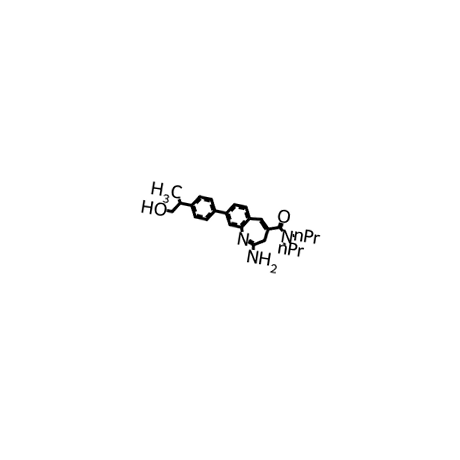 CCCN(CCC)C(=O)C1=Cc2ccc(-c3ccc(C(C)CO)cc3)cc2N=C(N)C1